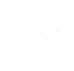 CN(CCCCCCCC(F)(F)C(F)(F)F)CCCCCC1Cc2c(ccc(O)c2Br)[C@@H]2[C@@H]1[C@@H]1CC[C@@](C)(O)[C@@]1(C)C[C@@H]2F